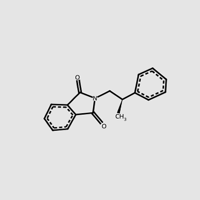 C[C@@H](CN1C(=O)c2ccccc2C1=O)c1ccccc1